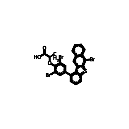 C[C@@H](Oc1c(Br)cc(-c2cccc3sc4c(Br)c5ccccc5cc4c23)cc1Br)C(=O)O